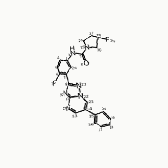 O=C(Nc1ccc(F)c(-c2nc3ncc(-c4ccccc4)cn3n2)c1)N1CC[C@@H](F)C1